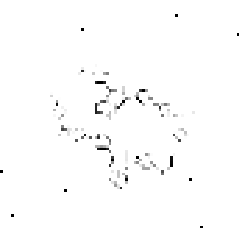 CCC(CC)n1cc(-c2nc(-c3cnn(C4CN(C(=O)[C@H]5C[C@@H](OCCC(CC)n6cc(-c7nc(-c8cnn(C9CN(C(=O)C%10CC(O)C%10)C9)c8)cn8nccc78)cn6)C5)C4)c3)cn3nccc23)cn1